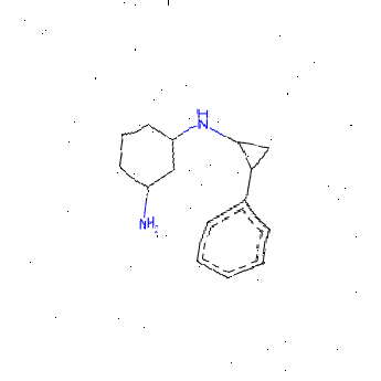 NC1CCCC(NC2CC2c2ccccc2)C1